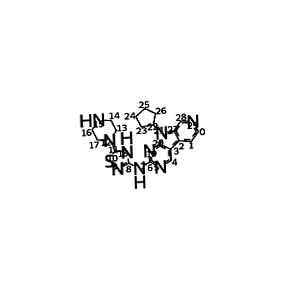 c1cc2c3cnc(NC4=NSC(N5CCNCC5)N4)nc3n(C3CCCC3)c2cn1